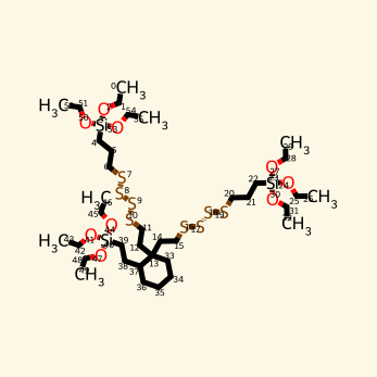 CCO[Si](CCCSSSSCCC1(CCSSSSCCC[Si](OCC)(OCC)OCC)CCCCC1CC[Si](OCC)(OCC)OCC)(OCC)OCC